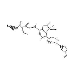 C=CC1CCN(C/N=C\C(=C/C)c2cc(CC(C)C(C)(C)C)c(/C(C)=C/C(=C)/C(=C\C)C(=C)C#N)cc2C)C1